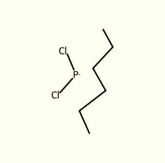 CCCCCC.Cl[P]Cl